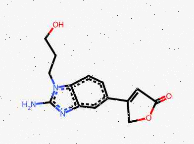 Nc1nc2cc(C3=CC(=O)OC3)ccc2n1CCCO